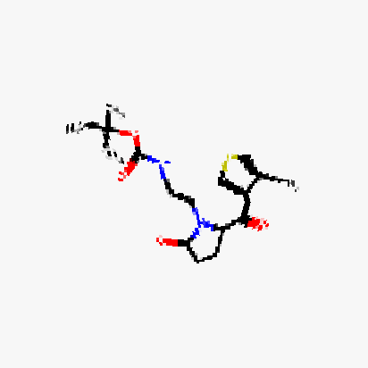 Cc1cscc1C(=O)C1CCC(=O)N1CCNC(=O)OC(C)(C)C